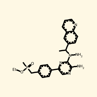 CCOP(C)(=O)Cc1ccc(-c2cnc(N)c(N(N)C(C)c3ccc4ncccc4c3)n2)cc1